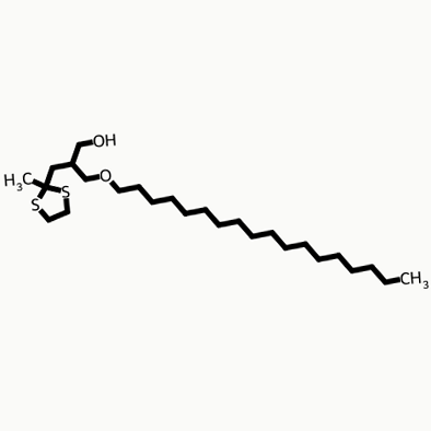 CCCCCCCCCCCCCCCCCCOCC(CO)CC1(C)SCCS1